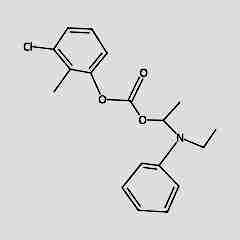 CCN(c1ccccc1)C(C)OC(=O)Oc1cccc(Cl)c1C